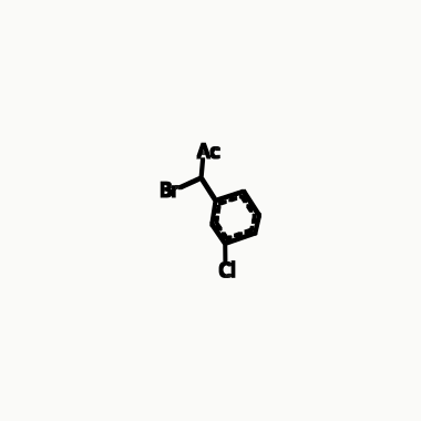 CC(=O)C(Br)c1cccc(Cl)c1